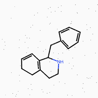 C1=CC2=C(CC1)CCNC2Cc1ccccc1